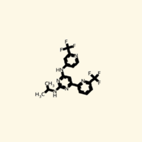 CC(C)Nc1nc(Nc2ccnc(C(F)(F)F)c2)cc(-c2cccc(C(F)(F)F)n2)n1